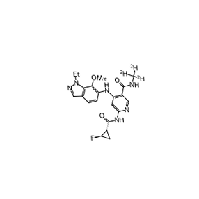 [2H]C([2H])([2H])NC(=O)c1cnc(NC(=O)[C@@H]2C[C@H]2F)cc1Nc1ccc2cnn(CC)c2c1OC